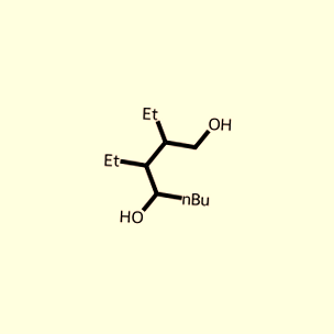 CCCCC(O)C(CC)C(CC)CO